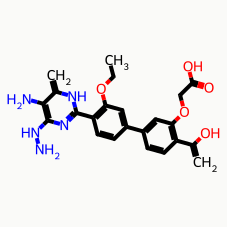 C=C1NC(c2ccc(-c3ccc(C(=C)O)c(OCC(=O)O)c3)cc2OCC)=NC(NN)=C1N